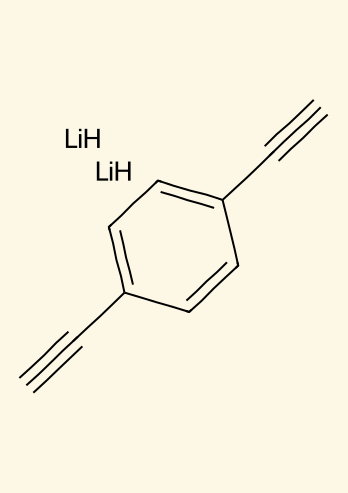 C#Cc1ccc(C#C)cc1.[LiH].[LiH]